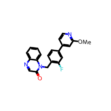 COc1cc(-c2ccc(Cn3c(=O)cnc4ccccc43)c(F)c2)ccn1